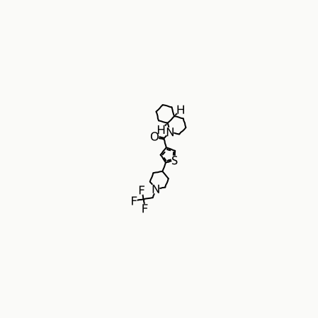 O=C(c1csc(C2CCN(CC(F)(F)F)CC2)c1)N1CCC[C@H]2CCCC[C@H]21